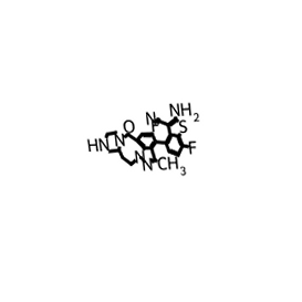 Cc1nn2c3c(cc(F)c(-c4ccc(F)c5sc(N)c(C#N)c45)c13)C(=O)N1CCNCC1CC2